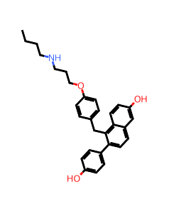 CCCCNCCCOc1ccc(Cc2c(-c3ccc(O)cc3)ccc3cc(O)ccc23)cc1